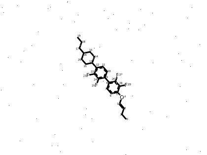 CC/C=C/Oc1ccc(-c2ccc(C3CCC(CCC)CC3)c(F)c2F)c(F)c1F